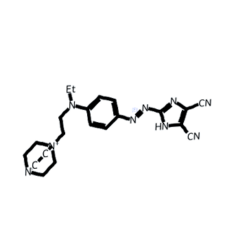 CCN(CC[N+]12CCN(CC1)CC2)c1ccc(/N=N/c2nc(C#N)c(C#N)[nH]2)cc1